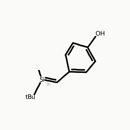 C/[Si](=C\c1ccc(O)cc1)C(C)(C)C